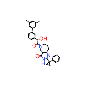 Cc1cc(C)cc(-c2cccc([C@@H](O)C(=O)N3CCCc4nc(C5(c6ccccc6)CC5)[nH]c(=O)c4C3)c2)c1